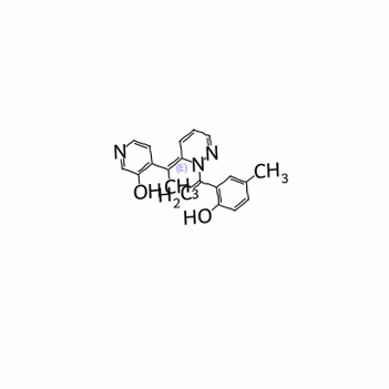 C=C(c1cc(C)ccc1O)N1N=CC=C/C1=C(/C)c1ccncc1O